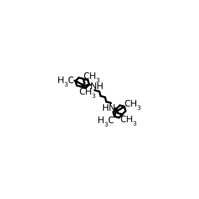 CC12CC3(C)CC(C)(C1)CC(NCCCCCCNC14CC5(C)CC(C)(CC(C)(C5)C1)C4)(C2)C3